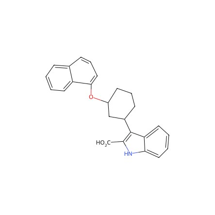 O=C(O)c1[nH]c2ccccc2c1C1CCCC(Oc2cccc3ccccc23)C1